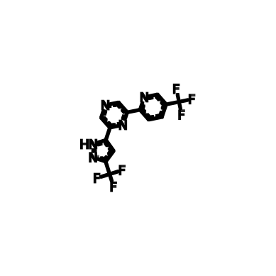 FC(F)(F)c1ccc(-c2cncc(-c3cc(C(F)(F)F)n[nH]3)n2)nc1